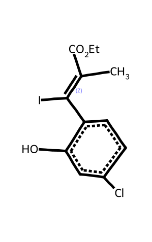 CCOC(=O)/C(C)=C(\I)c1ccc(Cl)cc1O